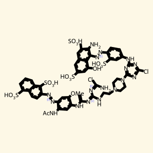 C=C(/N=C(\N=C(/N)Cl)NCCN1CCN(c2nc(Cl)nc(Nc3ccc(/N=N/c4c(N)c(S(=O)(=O)O)cc5cc(S(=O)(=O)O)cc(O)c45)c(S(=O)(=O)O)c3)n2)CC1)Nc1cc(NC(C)=O)c(/N=N/c2ccc3c(S(=O)(=O)O)cccc3c2S(=O)(=O)O)cc1OC